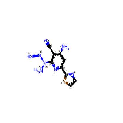 N#Cc1c(N)cc(-c2nccs2)nc1N(N)N=N